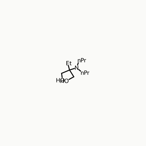 CCCN(CCC)C(CC)(CO)CO